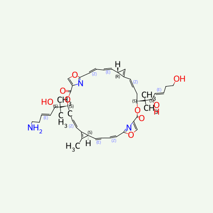 CC1=C2/C=C\C[C@@H](C(C)(C)[C@@H](O)/C=C/CCN)OC(=O)c3coc(n3)/C=C\C=C\[C@@H]3C=C3/C=C\C[C@@H](C(C)(C)[C@@H](O)/C=C/CCO)OC(=O)c3coc(n3)/C=C\C=C\[C@@H]12